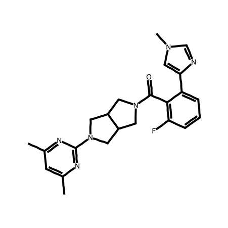 Cc1cc(C)nc(N2CC3CN(C(=O)c4c(F)cccc4-c4cn(C)cn4)CC3C2)n1